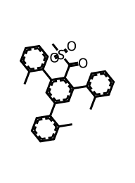 Cc1ccccc1-c1cc(-c2ccccc2C)c(C(=O)S(C)(=O)=O)c(-c2ccccc2C)c1